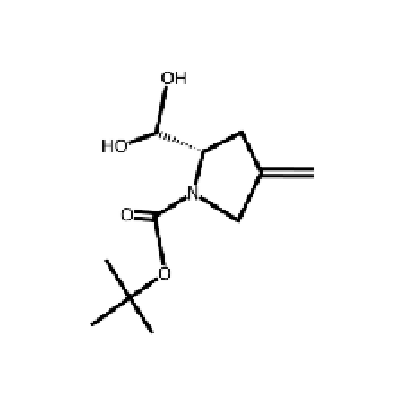 C=C1C[C@@H](C(O)O)N(C(=O)OC(C)(C)C)C1